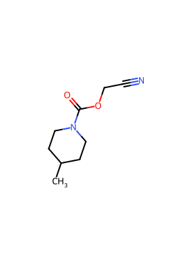 CC1CCN(C(=O)OCC#N)CC1